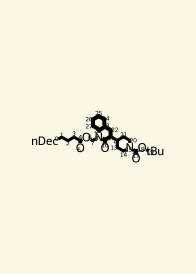 CCCCCCCCCCCCCC(=O)OCn1c(=O)c(C2CCN(C(=O)OC(C)(C)C)CC2)cc2ccccc21